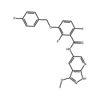 COc1n[nH]c2ncc(NC(=O)c3c(I)ccc(OCc4ccc(F)cc4)c3F)cc12